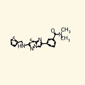 CN(C)C(=O)c1cccc(-c2cn3nc(NCc4cccs4)sc3n2)c1